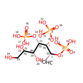 O=C[C@@H](OP(=O)(O)O)[C@@H](OP(=O)(O)O)[C@@H](OP(=O)(O)O)[C@H](O)[C@@H](O)CO